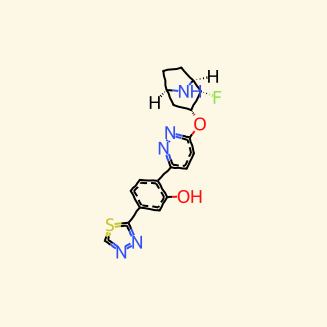 Oc1cc(-c2nncs2)ccc1-c1ccc(O[C@@H]2C[C@H]3CC[C@H](N3)[C@@H]2F)nn1